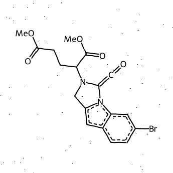 COC(=O)CCC(C(=O)OC)N1Cc2cc3ccc(Br)cc3n2C1=C=O